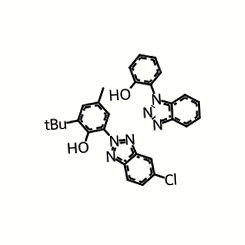 Cc1cc(-n2nc3ccc(Cl)cc3n2)c(O)c(C(C)(C)C)c1.Oc1ccccc1-n1nnc2ccccc21